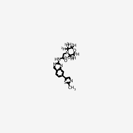 [2H]C1([2H])OC([2H])([2H])C([2H])([2H])N(CC(=O)Nc2ncc3ccc(-c4cnc(C)s4)cc3n2)C1([2H])[2H]